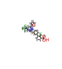 O=C(O)c1cccc(-c2cccc(Sc3nc(-c4ccco4)cc(C(F)(F)F)n3)c2)c1F